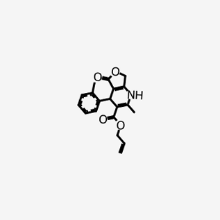 C=CCOC(=O)C1=C(C)NC2=C(C(=O)OC2)C1c1ccccc1C